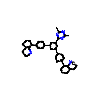 Cc1nc(C)nc(-c2cc(-c3ccc(-c4cccc5cccnc45)cc3)cc(-c3ccc(-c4cccc5cccnc45)cc3)c2)n1